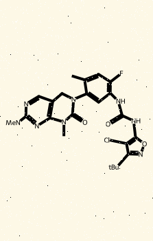 CNc1ncc2c(n1)N(C)C(=O)N(c1cc(NC(=O)Nc3onc(C(C)(C)C)c3Cl)c(F)cc1C)C2